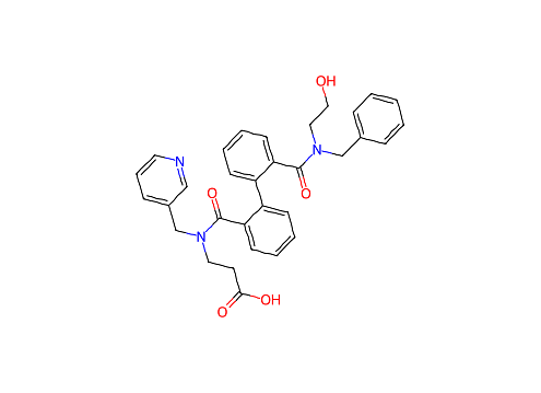 O=C(O)CCN(Cc1cccnc1)C(=O)c1ccccc1-c1ccccc1C(=O)N(CCO)Cc1ccccc1